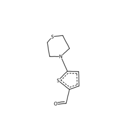 O=Cc1ccc(N2CCSCC2)s1